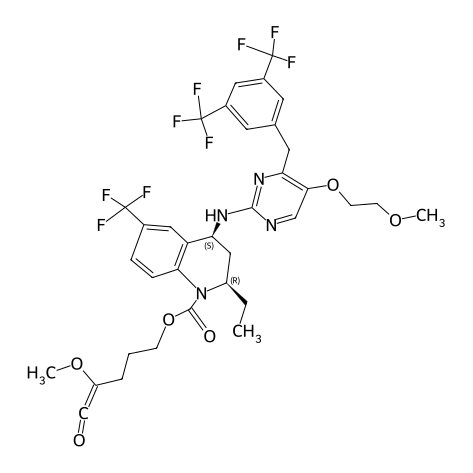 CC[C@@H]1C[C@H](Nc2ncc(OCCOC)c(Cc3cc(C(F)(F)F)cc(C(F)(F)F)c3)n2)c2cc(C(F)(F)F)ccc2N1C(=O)OCCCC(=C=O)OC